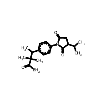 BC(=O)C(C)(C)C(C)c1ccc(N2C(=O)CC(C(C)C)C2=O)cc1